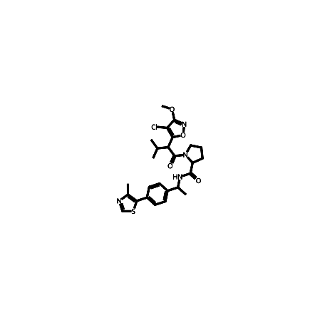 COc1noc(C(C(=O)N2CCCC2C(=O)NC(C)c2ccc(-c3scnc3C)cc2)C(C)C)c1Cl